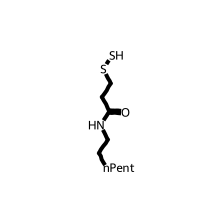 CCCCCCCNC(=O)CCSS